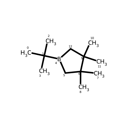 CC(C)(C)B1CC(C)(C)C(C)(C)C1